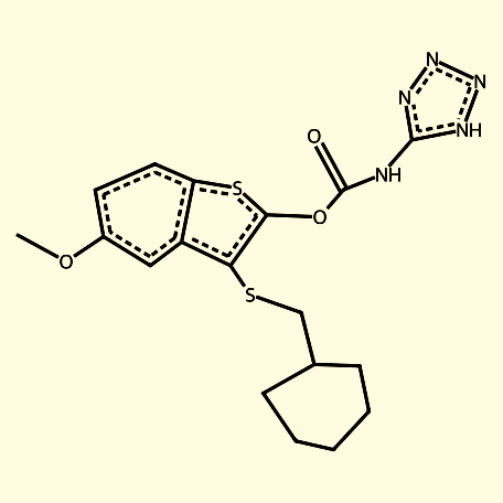 COc1ccc2sc(OC(=O)Nc3nnn[nH]3)c(SCC3CCCCC3)c2c1